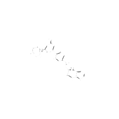 O=c1cc(-c2ccc(OCc3ccc4ccccc4n3)cc2)oc(N2CCOCC2)c1